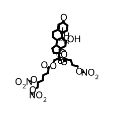 C[C@]12CCC(=O)C=C1CCC1C3CC[C@](OC(=O)CCCO[N+](=O)[O-])(C(=O)COC(=O)CCCC(CO[N+](=O)[O-])O[N+](=O)[O-])[C@@]3(C)C[C@H](O)[C@@H]12